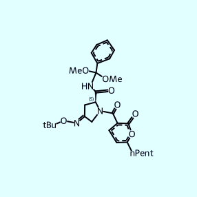 CCCCCc1ccc(C(=O)N2CC(=NOC(C)(C)C)C[C@H]2C(=O)NC(OC)(OC)c2ccccc2)c(=O)o1